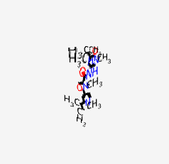 CCC(C)C1C=C(C2OC=C(C(=O)N/C(=C/NC)CC(C=O)C(C)(C)C)N2C)C=CN1C